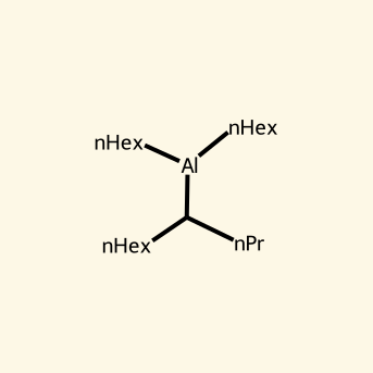 CCCCCC[CH](CCC)[Al]([CH2]CCCCC)[CH2]CCCCC